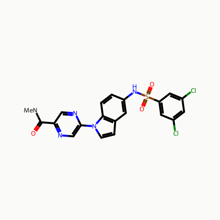 CNC(=O)c1cnc(-n2ccc3cc(NS(=O)(=O)c4cc(Cl)cc(Cl)c4)ccc32)cn1